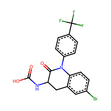 O=C(O)NC1Cc2cc(Br)ccc2N(c2ccc(C(F)(F)F)cc2)C1=O